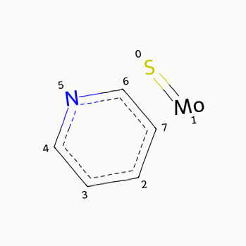 [S]=[Mo].c1ccncc1